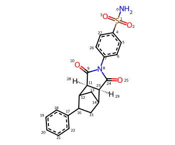 NS(=O)(=O)c1ccc(N2C(=O)[C@@H]3C4CC(CC4c4ccccc4)[C@@H]3C2=O)cc1